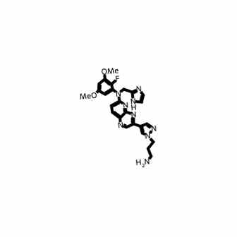 COc1cc(OC)c(F)c(N(Cc2ncc[nH]2)c2ccc3ncc(-c4cnn(CCCN)c4)nc3n2)c1